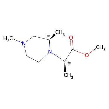 COC(=O)[C@@H](C)N1CCN(C)C[C@H]1C